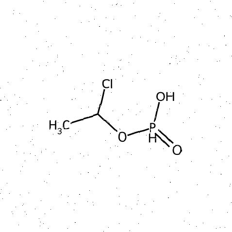 CC(Cl)O[PH](=O)O